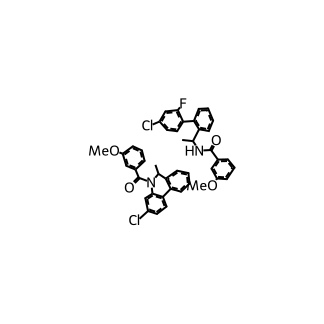 COc1cccc(C(=O)N2c3cc(Cl)ccc3-c3ccccc3C2C)c1.COc1cccc(C(=O)NC(C)c2ccccc2-c2ccc(Cl)cc2F)c1